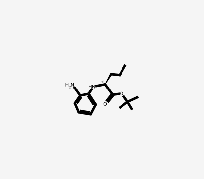 CCC[C@H](Nc1ccccc1N)C(=O)OC(C)(C)C